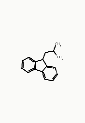 CC(C)CC1c2ccccc2-c2ccccc21